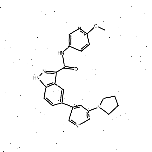 COc1ccc(NC(=O)c2n[nH]c3ccc(-c4cncc(N5CCCC5)c4)cc23)cn1